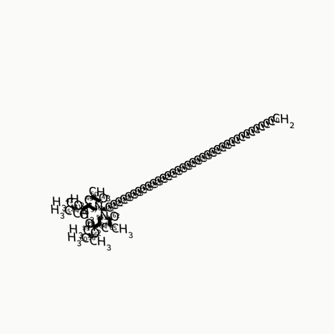 C=C=C=C=C=C=C=C=C=C=C=C=C=C=C=C=C=C=C=C=C=C=C=C=C=C=C=C=C=C=C=C=C=C=C=C(N(CCC(=O)OC(C)(C)C)C(=O)C(=C)C)N(CCC(=O)OC(C)(C)C)C(=O)C(=C)C